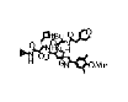 COc1c(C)cc(C2=NO[C@]3(C2)C[C@@H](C(=O)N[C@@H](CC2CCC2)C(=O)C(=O)NC2CC2)N(C(=O)[C@@H](NC(=O)CC2CCOCC2)C(C)(C)C)C3)cc1C